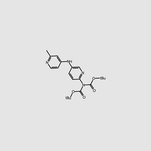 Cc1cc(Nc2ccc(N(C(=O)OC(C)(C)C)C(=O)OC(C)(C)C)nc2)ccn1